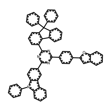 c1ccc(-n2c3ccccc3c3cc(-c4nc(-c5ccc(-c6cc7ccccc7o6)cc5)nc(-c5cccc6c5-c5ccccc5C6(c5ccccc5)c5ccccc5)n4)ccc32)cc1